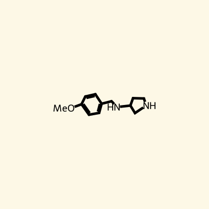 COc1ccc(CNC2CCNC2)cc1